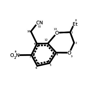 CCC1COc2ccc([N+](=O)[O-])c(CC#N)c2O1